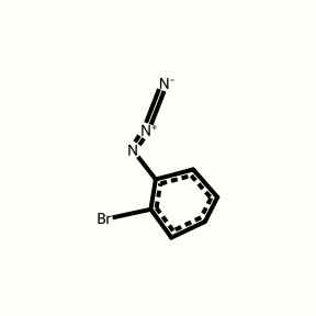 [N-]=[N+]=Nc1ccccc1Br